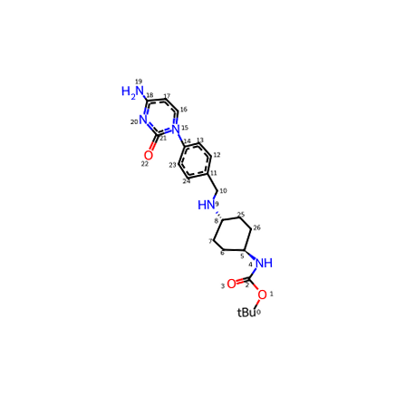 CC(C)(C)OC(=O)N[C@H]1CC[C@H](NCc2ccc(-n3ccc(N)nc3=O)cc2)CC1